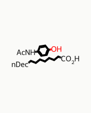 CC(=O)Nc1ccc(O)cc1.CCCCCCCCCCCCCCCCCC(=O)O